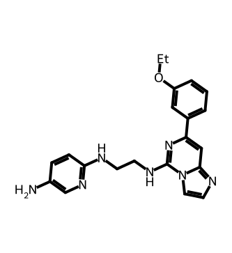 CCOc1cccc(-c2cc3nccn3c(NCCNc3ccc(N)cn3)n2)c1